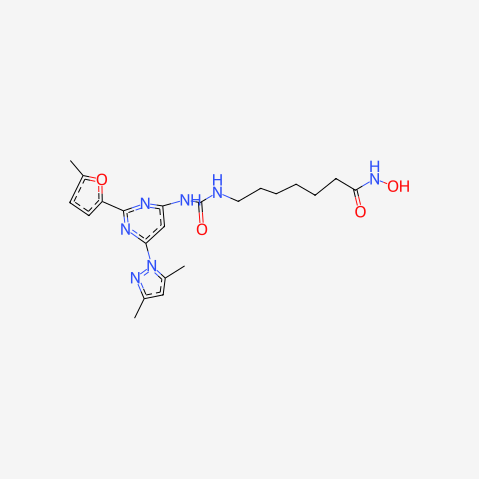 Cc1cc(C)n(-c2cc(NC(=O)NCCCCCCC(=O)NO)nc(-c3ccc(C)o3)n2)n1